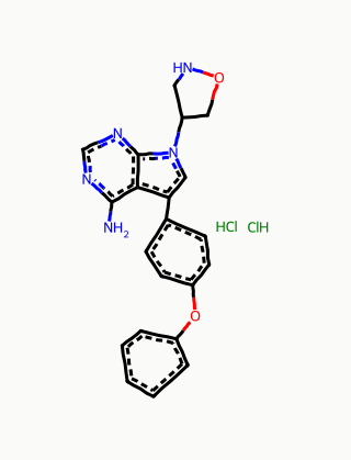 Cl.Cl.Nc1ncnc2c1c(-c1ccc(Oc3ccccc3)cc1)cn2C1CNOC1